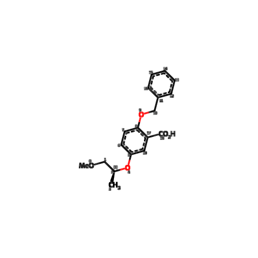 COC[C@H](C)Oc1ccc(OCc2ccccc2)c(C(=O)O)c1